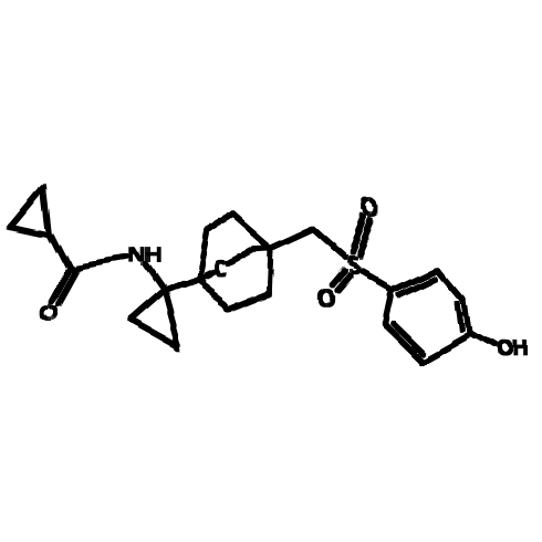 O=C(NC1(C23CCC(CS(=O)(=O)c4ccc(O)cc4)(CC2)CC3)CC1)C1CC1